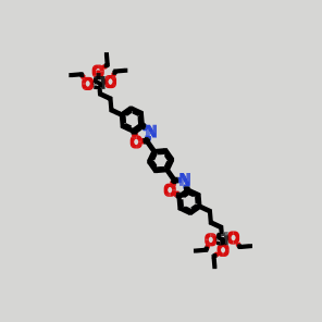 CCO[Si](CCCc1ccc2oc(-c3ccc(-c4nc5ccc(CCC[Si](OCC)(OCC)OCC)cc5o4)cc3)nc2c1)(OCC)OCC